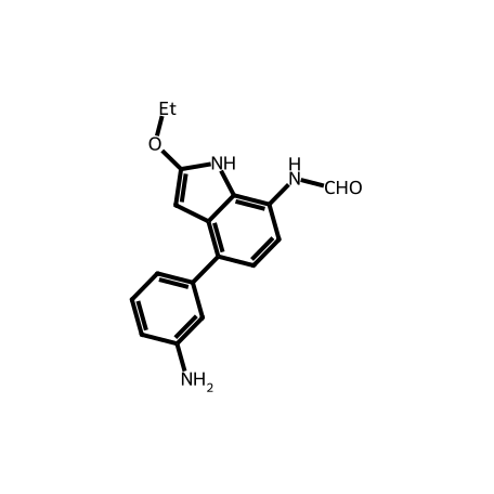 CCOc1cc2c(-c3cccc(N)c3)ccc(NC=O)c2[nH]1